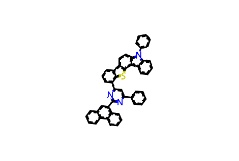 c1ccc(-c2cc(-c3cccc4c3sc3c4ccc4c3c3ccccc3n4-c3ccccc3)nc(-c3cc4ccccc4c4ccccc34)n2)cc1